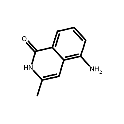 Cc1cc2c(N)cccc2c(=O)[nH]1